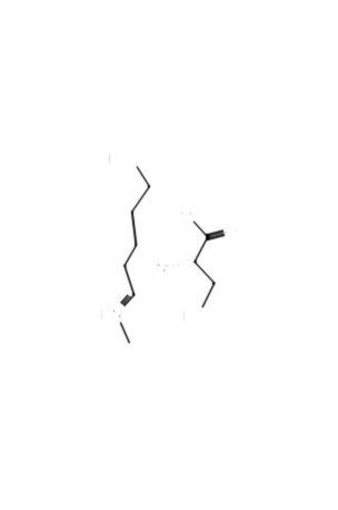 CCCCCC=[NH+][O-].N[C@@H](CS)C(=O)O